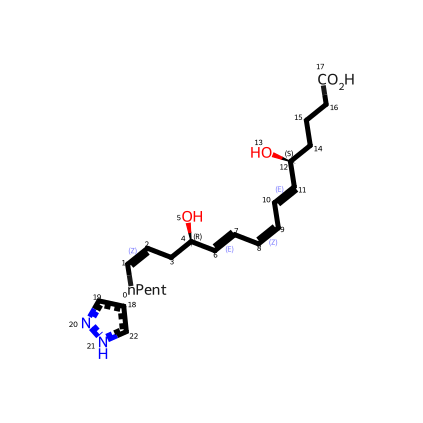 CCCCC/C=C\C[C@@H](O)/C=C/C=C\C=C\[C@@H](O)CCCC(=O)O.c1cn[nH]c1